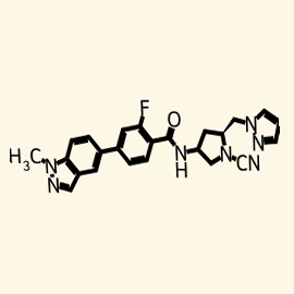 Cn1ncc2cc(-c3ccc(C(=O)NC4C[C@@H](Cn5cccn5)N(C#N)C4)c(F)c3)ccc21